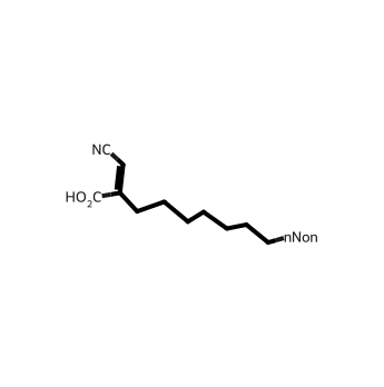 CCCCCCCCCCCCCCCCC(=CC#N)C(=O)O